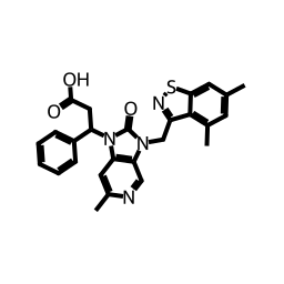 Cc1cc(C)c2c(Cn3c(=O)n(C(CC(=O)O)c4ccccc4)c4cc(C)ncc43)nsc2c1